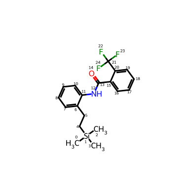 C[Si](C)(C)CCc1ccccc1NC(=O)c1ccccc1C(F)(F)F